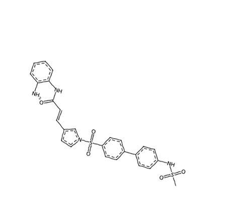 CS(=O)(=O)Nc1ccc(-c2ccc(S(=O)(=O)n3ccc(C=CC(=O)Nc4ccccc4N)c3)cc2)cc1